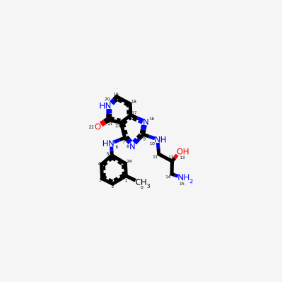 Cc1cccc(Nc2nc(NCC(O)CN)nc3cc[nH]c(=O)c23)c1